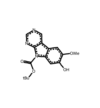 COc1cc2c3cncnc3n(C(=O)OC(C)(C)C)c2cc1O